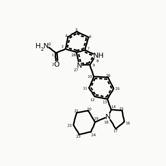 NC(=O)c1cccc2[nH]c(-c3ccc(C4CCCN4C4CCCCC4)cc3)nc12